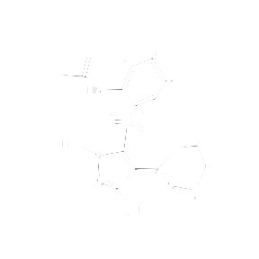 Cn1nc(Cl)c(C2=NOCCO2)c1S(=O)(=O)c1ccccc1NC(=O)O